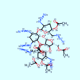 CC(=O)OC[C@H]1O[C@@H](O[C@H]2[C@H](OC3O[C@H](CN=[N+]=[N-])[C@H](OC(C)=O)[C@H](F)C3N=[N+]=[N-])C(N=[N+]=[N-])CC(N=[N+]=[N-])[C@@H]2OC(C)=O)[C@H](OC(C)=O)[C@@H]1O[C@H]1O[C@@H](CN=[N+]=[N-])[C@@H](OC(C)=O)[C@H](OC(C)=O)C1N=[N+]=[N-]